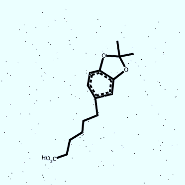 CC1(C)Oc2ccc(CCCCCC(=O)O)cc2O1